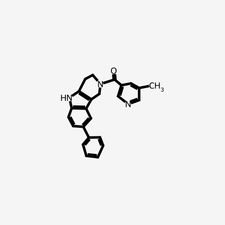 Cc1cncc(C(=O)N2CCc3[nH]c4ccc(-c5ccccc5)cc4c3C2)c1